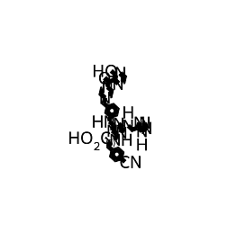 N#Cc1ccc(C[C@H](Nc2nc(NCc3nnn[nH]3)nc(Nc3cccc(CN4CCN(C(=O)c5nccnc5O)CC4)c3)n2)C(=O)O)cc1